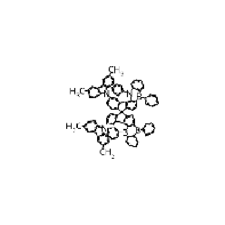 Cc1ccc2c(c1)c1cc(C)ccc1n2-c1ccc2c(c1)-c1c(ccc3c1B(c1ccccc1)c1ccccc1B3c1ccccc1)C21c2ccc(-n3c4ccc(C)cc4c4cc(C)ccc43)cc2-c2c1ccc1c2N(c2ccccc2)c2ccccc2B1c1ccccc1